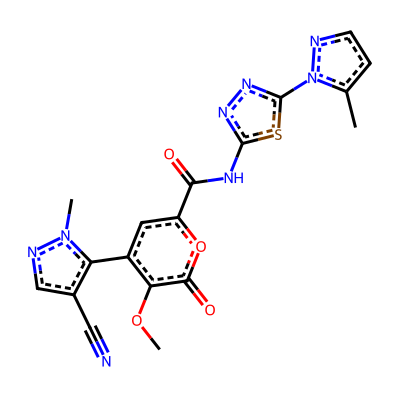 COc1c(-c2c(C#N)cnn2C)cc(C(=O)Nc2nnc(-n3nccc3C)s2)oc1=O